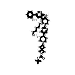 CC(C)(C)OC(=O)N1CC2(CC(N3CCC(c4cnc(N5CCc6[nH]c7nnc(-c8ccccc8O)cc7c6[C@@H]5CCCCCN)nc4)CC3)C2)C1